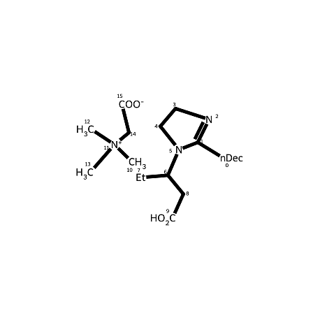 CCCCCCCCCCC1=NCCN1C(CC)CC(=O)O.C[N+](C)(C)CC(=O)[O-]